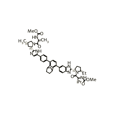 CC[C@H]1CC[C@@H](c2nc3ccc(-c4ccc(-c5ccc(-c6cnc([C@@H]7C[C@H](C)CN7C(=O)[C@H](C)NC(=O)OC)[nH]6)cc5)c5c4C4CCC5C4)cc3[nH]2)N1C(=O)[C@@H](NC(=O)OC)C(C)C